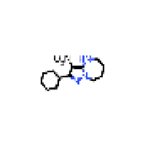 O=[N+]([O-])c1c(C2CCCCC2)nn2c1NCCCC2